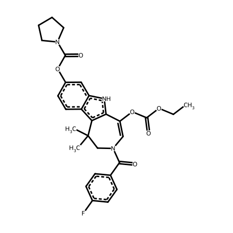 CCOC(=O)OC1=CN(C(=O)c2ccc(F)cc2)CC(C)(C)c2c1[nH]c1cc(OC(=O)N3CCCC3)ccc21